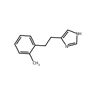 Cc1ccccc1CCc1c[nH]cn1